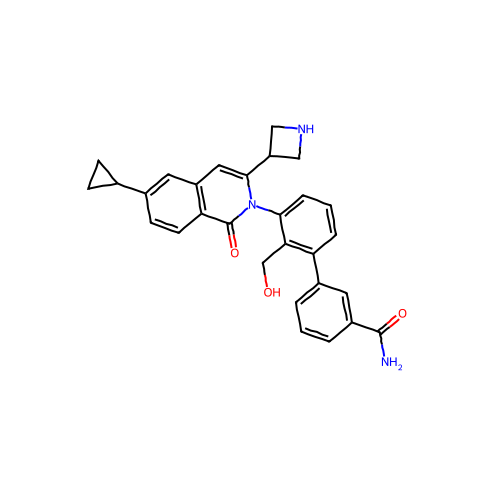 NC(=O)c1cccc(-c2cccc(-n3c(C4CNC4)cc4cc(C5CC5)ccc4c3=O)c2CO)c1